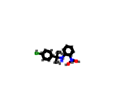 CC(C)(Nc1ccccc1[N+](=O)[O-])c1ccc(Cl)cc1